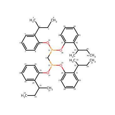 CCC(C)c1ccccc1OP(CP(Oc1ccccc1C(C)CC)Oc1ccccc1C(C)CC)Oc1ccccc1C(C)CC